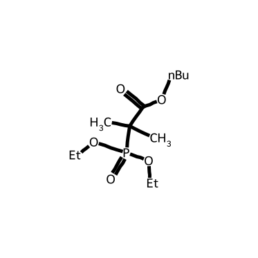 CCCCOC(=O)C(C)(C)P(=O)(OCC)OCC